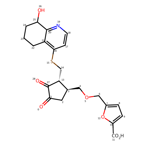 O=C1C[C@H](COCc2ccc(C(=O)O)o2)[C@@H](CSc2ccnc3c2CCCC3O)C1=O